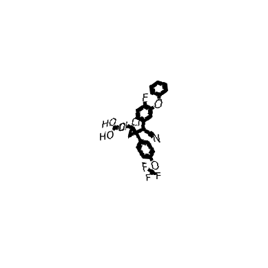 N#CC(c1ccc(F)c(Oc2ccccc2)c1)C1(c2ccc(OC(F)(F)F)cc2)CC1(Cl)Cl.O=C(O)O